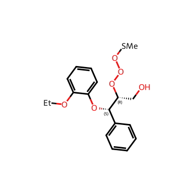 CCOc1ccccc1O[C@@H](c1ccccc1)[C@@H](CO)OOOSC